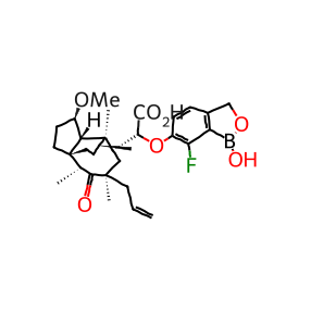 C=CC[C@]1(C)C[C@@H](C(Oc2ccc3c(c2F)B(O)OC3)C(=O)O)[C@@]2(C)[C@H](C)CC[C@]3(CC[C@@H](OC)[C@@H]32)[C@@H](C)C1=O